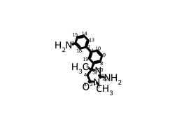 CN1C(=O)CC(C)(c2cccc(-c3cccc(N)c3)c2)N=C1N